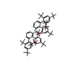 CC(C)(C)c1cc(C(C)(C)C)c(-c2cc[c]c(Sc3[c]ccc(-c4c(C(C)(C)C)cc(C(C)(C)C)cc4C(C)(C)C)c3-c3c(C(C)(C)C)cc(C(C)(C)C)cc3C(C)(C)C)c2-c2c(C(C)(C)C)cc(C(C)(C)C)cc2C(C)(C)C)c(C(C)(C)C)c1